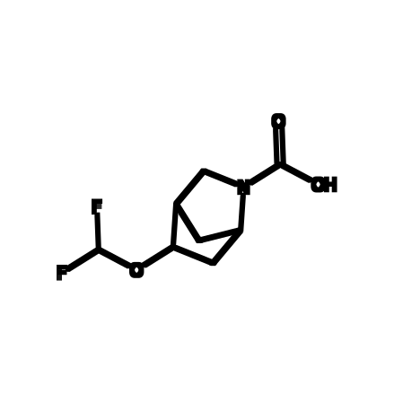 O=C(O)N1CC2CC1CC2OC(F)F